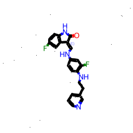 O=C1Nc2ccc(F)cc2/C1=C\Nc1ccc(NCCc2cccnc2)c(F)c1